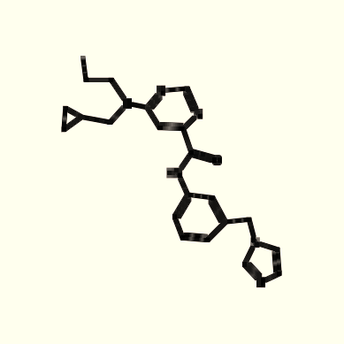 CCCN(CC1CC1)c1cc(C(=O)Nc2cccc(Cn3ccnc3)c2)ncn1